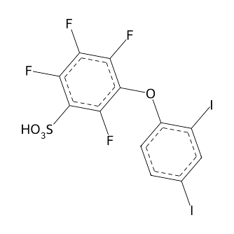 O=S(=O)(O)c1c(F)c(F)c(F)c(Oc2ccc(I)cc2I)c1F